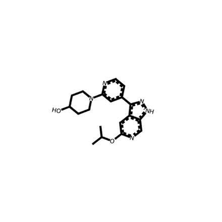 CC(C)Oc1cc2c(-c3ccnc(N4CCC(O)CC4)c3)n[nH]c2cn1